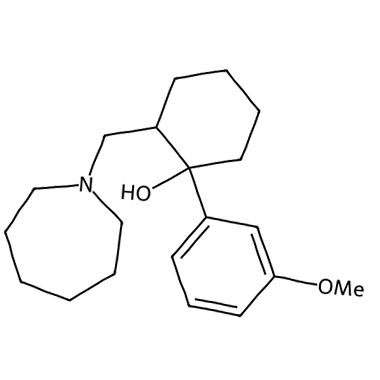 COc1cccc(C2(O)CCCCC2CN2CCCCCC2)c1